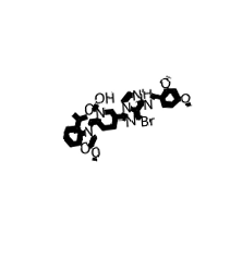 COC(=O)CN(CC1CCC(c2nc(Br)c3c(NCc4ccc(OC)cc4OC)nccn23)CN1C(=O)O)c1ccccc1C(C)C